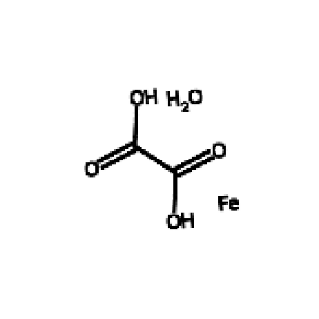 O.O=C(O)C(=O)O.[Fe]